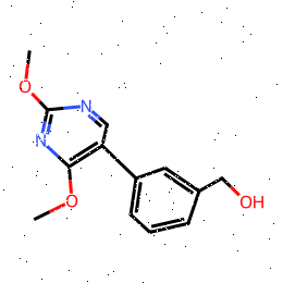 COc1ncc(-c2cccc(CO)c2)c(OC)n1